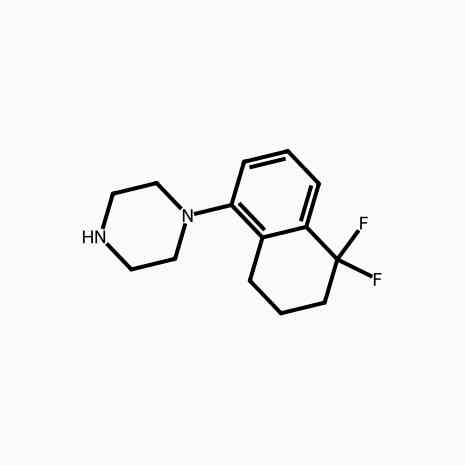 FC1(F)CCCc2c(N3CCNCC3)cccc21